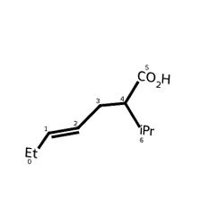 CCC=CCC(C(=O)O)C(C)C